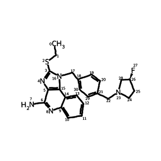 CCSc1nc2c(N)nc3ccccc3c2n1Cc1ccc(CN2CC[C@H](F)C2)cc1